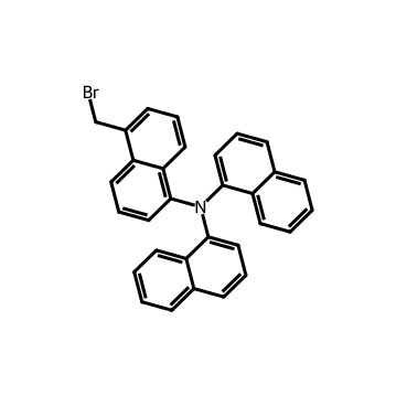 BrCc1cccc2c(N(c3cccc4ccccc34)c3cccc4ccccc34)cccc12